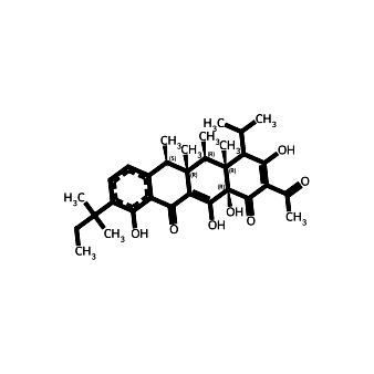 CCC(C)(C)c1ccc2c(c1O)C(=O)C1=C(O)[C@@]3(O)C(=O)C(C(C)=O)=C(O)C(C(C)C)[C@@]3(C)[C@H](C)[C@@]1(C)[C@@H]2C